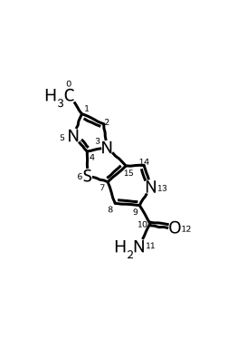 Cc1cn2c(n1)sc1cc(C(N)=O)ncc12